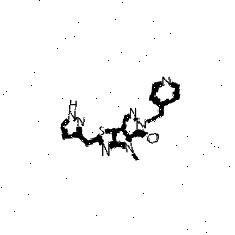 Cn1c2nc(Cc3cc[nH]n3)sc2c2cnn(Cc3ccncc3)c(=O)c21